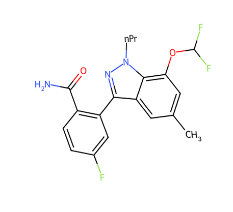 CCCn1nc(-c2cc(F)ccc2C(N)=O)c2cc(C)cc(OC(F)F)c21